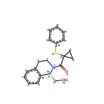 O=C(N1CCc2ccccc2[C@H]1CO)C1(Sc2ccccc2)CC1